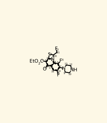 CCOC(=O)c1c2n(c3c(F)c(N4CCNCC4)c(F)cc3c1=O)C(CF)S2